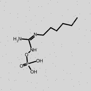 CCCCCCN=C(N)NOP(=O)(O)O